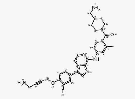 Cc1cc(Nc2nccn3c(-c4ccc(OCC#CCN)c(F)c4)cnc23)ccc1C(=O)N1CCC(CN)CC1